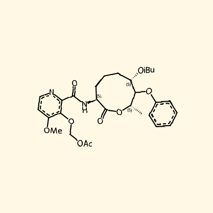 COc1ccnc(C(=O)N[C@H]2CCC[C@H](OCC(C)C)C(Oc3ccccc3)[C@H](C)OC2=O)c1OCOC(C)=O